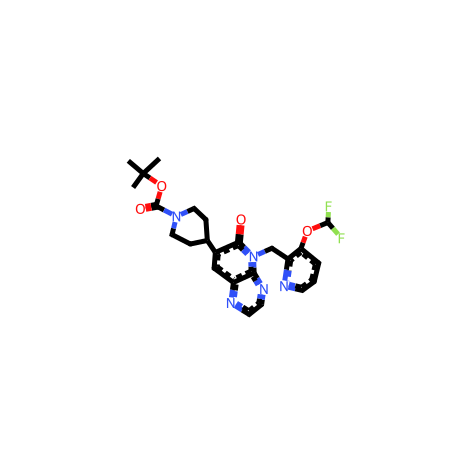 CC(C)(C)OC(=O)N1CCC(c2cc3nccnc3n(Cc3ncccc3OC(F)F)c2=O)CC1